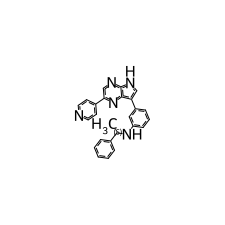 C[C@H](Nc1cccc(-c2c[nH]c3ncc(-c4ccncc4)nc23)c1)c1ccccc1